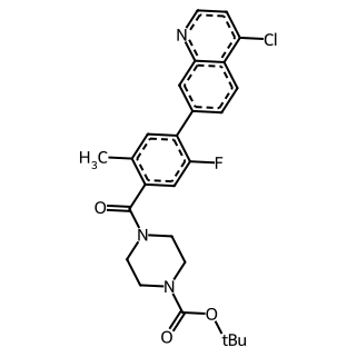 Cc1cc(-c2ccc3c(Cl)ccnc3c2)c(F)cc1C(=O)N1CCN(C(=O)OC(C)(C)C)CC1